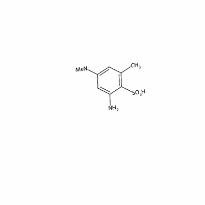 CNc1cc(C)c(S(=O)(=O)O)c(N)c1